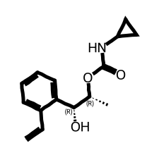 C=Cc1ccccc1[C@@H](O)[C@@H](C)OC(=O)NC1CC1